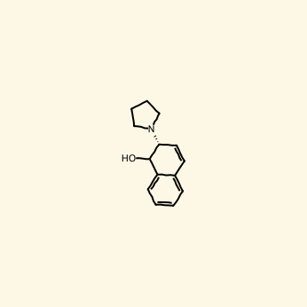 OC1c2ccccc2C=C[C@H]1N1CCCC1